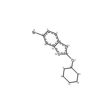 Brc1ccc2nc(OC3CCCCC3)sc2c1